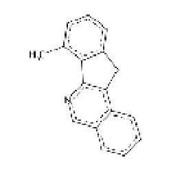 Cc1cccc2c1-c1ncc3ccccc3c1C2